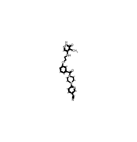 Cc1c(NCCOc2cccc(C(=O)N3CCN(c4ccc(C#N)cn4)CC3)c2)cn[nH]c1=O